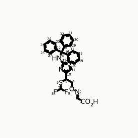 O=C(O)C=NOCC(SC(F)F)c1csc(NC(c2ccccc2)(c2ccccc2)c2ccccc2)n1